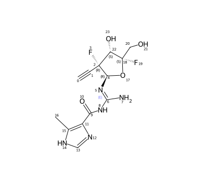 C#C[C@]1(F)[C@H](/N=C(\N)NC(=O)c2nc[nH]c2C)O[C@](F)(CO)[C@H]1O